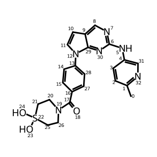 Cc1ccc(Nc2ncc3ccn(-c4ccc(C(=O)N5CCS(O)(O)CC5)cc4)c3n2)cn1